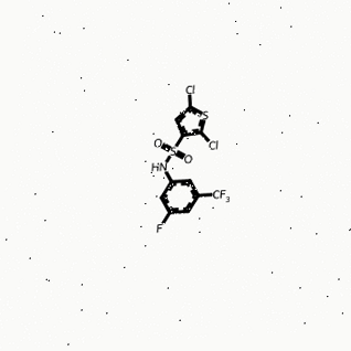 O=S(=O)(Nc1cc(F)cc(C(F)(F)F)c1)c1cc(Cl)sc1Cl